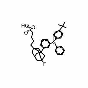 CC(C)(C)c1ccc([SH](c2ccccc2)c2cccc(C34CC5CC(F)(CC(CCCCS(=O)(=O)O)(C5)C3)C4)c2)cc1